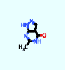 Cc1nc2[nH]ncc2c(=O)[nH]1